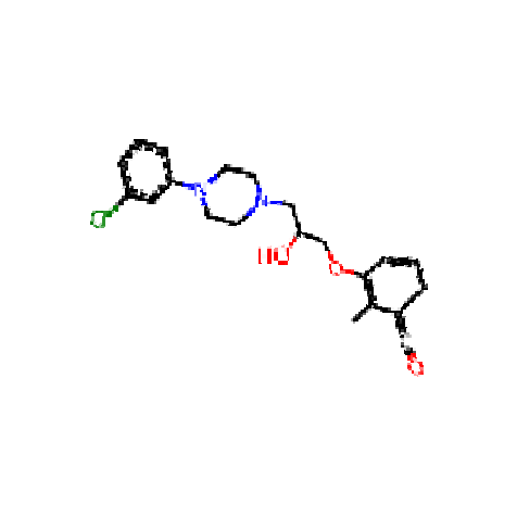 CC1=C(OCC(O)CN2CCN(c3cccc(Cl)c3)CC2)C=CCC1=C=O